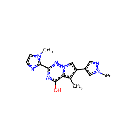 Cc1c(-c2cnn(C(C)C)c2)cn2nc(-c3nccn3C)nc(O)c12